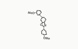 COc1ccc(-c2nc3ccc(-c4cccc(OC)c4)cc3o2)cc1